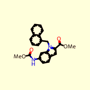 COC(=O)Nc1ccc2cc(C(=O)OC)n(Cc3cccc4ccccc34)c2c1